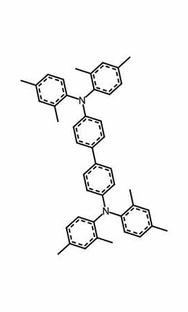 Cc1ccc(N(c2ccc(-c3ccc(N(c4ccc(C)cc4C)c4ccc(C)cc4C)cc3)cc2)c2ccc(C)cc2C)c(C)c1